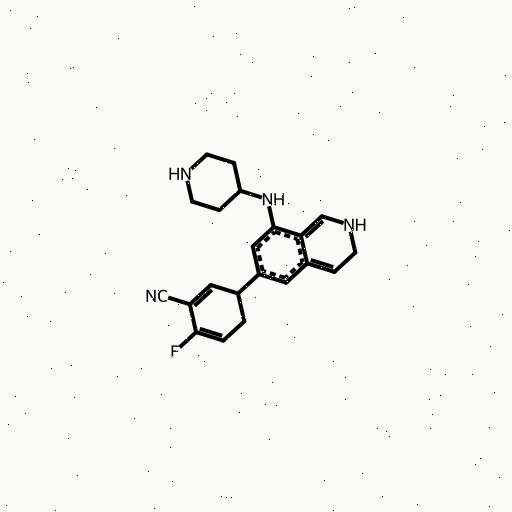 N#CC1=CC(c2cc(NC3CCNCC3)c3c(c2)=CCNC=3)CC=C1F